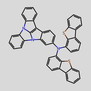 c1ccc2c(c1)sc1c(N(c3ccc4c5c6ccccc6n6c7ccccc7n(c4c3)c56)c3cccc4c3sc3ccccc34)cccc12